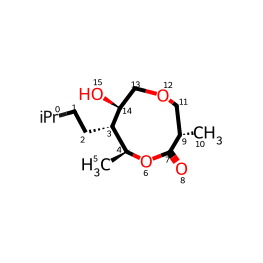 CC(C)CC[C@H]1[C@H](C)OC(=O)[C@@H](C)COC[C@@H]1O